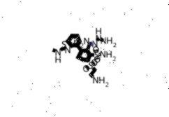 CNc1nc2c(-c3ccc(S(=O)(=O)CCN)c(S(N)(=O)=O)c3/C(N)=N/NN)cccc2s1